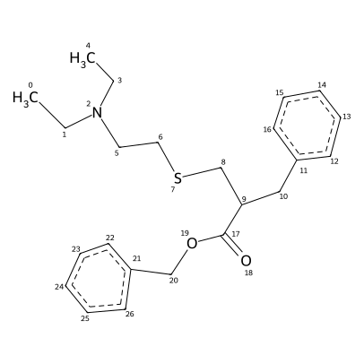 CCN(CC)CCSCC(Cc1ccccc1)C(=O)OCc1ccccc1